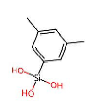 Cc1cc(C)cc([Si](O)(O)O)c1